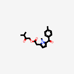 Cc1ccc(C(=O)c2ccc(CC(=O)OCC(=O)C(C)C)n2C)cc1